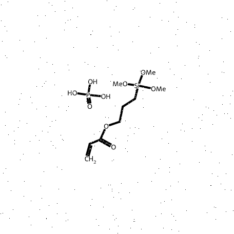 C=CC(=O)OCCC[Si](OC)(OC)OC.O=P(O)(O)O